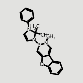 CN1C=c2c(oc3ccccc23)=CB1N1C=CN(c2ccccc2)C1(C)C